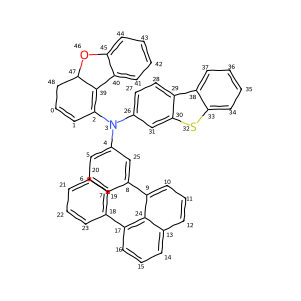 C1=CC(N(c2cccc(-c3cccc4cccc(-c5ccccc5)c34)c2)c2ccc3c(c2)sc2ccccc23)=C2c3ccccc3OC2C1